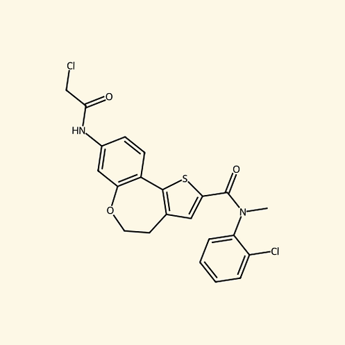 CN(C(=O)c1cc2c(s1)-c1ccc(NC(=O)CCl)cc1OCC2)c1ccccc1Cl